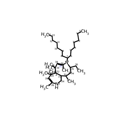 CCCCCCCC(CCCCCCC)N1/C(C)=C/C(C)(C)C2C(CNC(C)=CC2(C)C)C(C)CC1CC